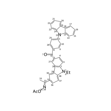 CCn1c2ccc(C(=O)c3ccc(-n4c5ccccc5c5ccccc54)cc3)cc2c2cc(C(C)=NOC(C)=O)ccc21